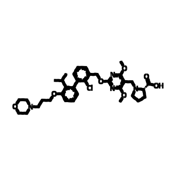 COc1nc(OCc2cccc(-c3cccc(OCCCN4CCOCC4)c3C(C)C)c2Cl)nc(OC)c1CN1CCC[C@H]1C(=O)O